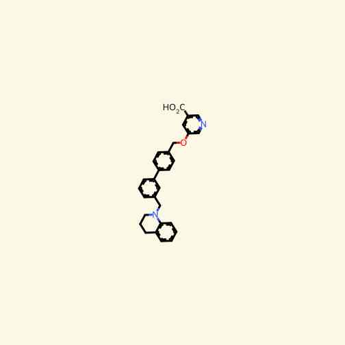 O=C(O)c1cncc(OCc2ccc(-c3cccc(CN4CCCc5ccccc54)c3)cc2)c1